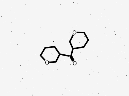 O=C(C1CCCOC1)C1CCCOC1